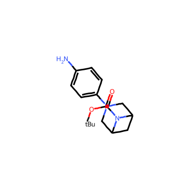 CC(C)(C)OC(=O)N1C2CC1CN(c1ccc(N)cc1)C2